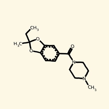 CCC1(C)Oc2ccc(C(=O)N3CCN(C)CC3)cc2O1